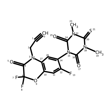 C#CCN1C(=O)C(F)(F)Oc2cc(F)c(-n3c(=O)n(C)c(=S)n(C)c3=O)cc21